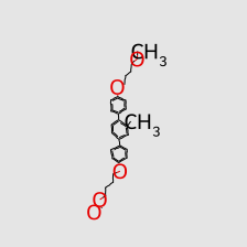 COCCCCOc1ccc(-c2ccc(-c3ccc(OCCCCOC=O)cc3)cc2C)cc1